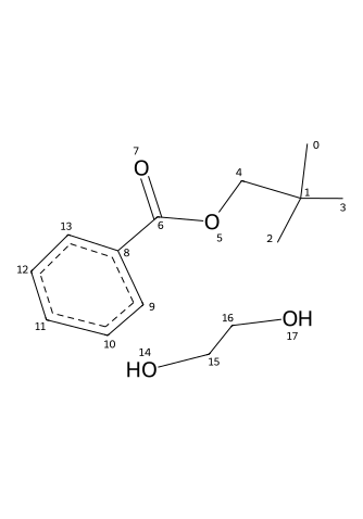 CC(C)(C)COC(=O)c1ccccc1.OCCO